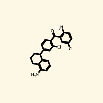 Nc1ccc(Cl)cc1C(=O)c1ccc(C2CCCc3c(N)cccc32)cc1Cl